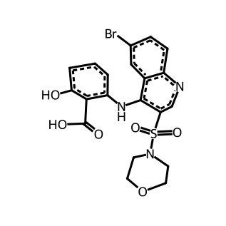 O=C(O)c1c(O)cccc1Nc1c(S(=O)(=O)N2CCOCC2)cnc2ccc(Br)cc12